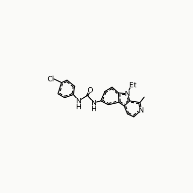 CCn1c2ccc(NC(=O)Nc3ccc(Cl)cc3)cc2c2ccnc(C)c21